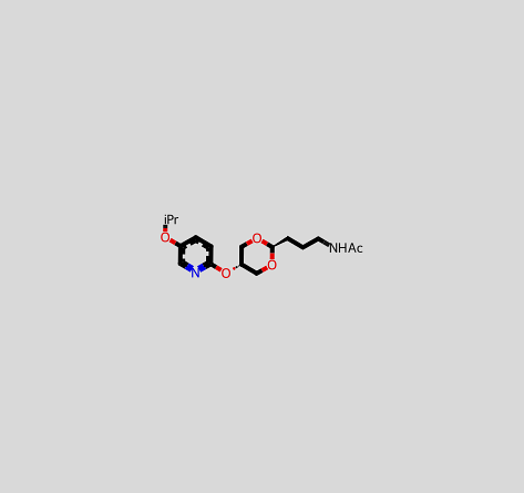 CC(=O)NCCC[C@H]1OC[C@H](Oc2ccc(OC(C)C)cn2)CO1